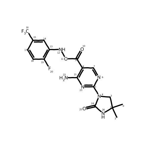 CC1(C)CN(c2ncc(C(=O)ONc3cc(C(F)(F)F)ccc3F)c(N)n2)C(=O)N1